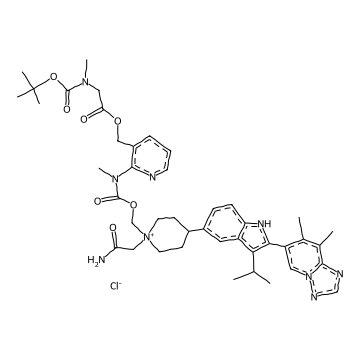 Cc1c(-c2[nH]c3ccc(C4CC[N+](COC(=O)N(C)c5ncccc5COC(=O)CN(C)C(=O)OC(C)(C)C)(CC(N)=O)CC4)cc3c2C(C)C)cn2ncnc2c1C.[Cl-]